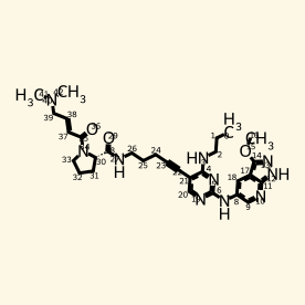 CCCNc1nc(Nc2cnc3[nH]nc(OC)c3c2)ncc1C#CCCCNC(=O)[C@@H]1CCCN1C(=O)C=CCN(C)C